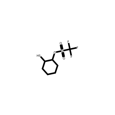 O=S(=O)(OC1CCCCC1S)C(F)(F)F